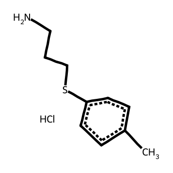 Cc1ccc(SCCCN)cc1.Cl